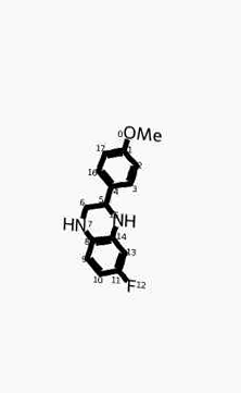 COc1ccc(C2CNc3ccc(F)cc3N2)cc1